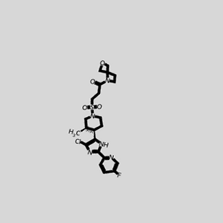 C[C@H]1CN(S(=O)(=O)CCC(=O)N2CCC23COC3)CC[C@H]1c1[nH]c(-c2ccc(F)cn2)nc1Cl